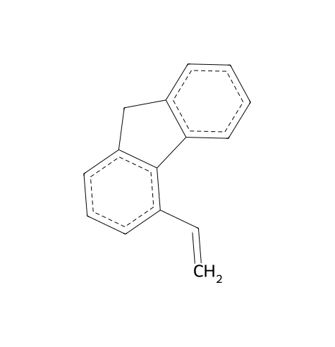 C=Cc1cccc2c1-c1ccccc1C2